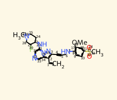 C=Cc1c(C#CCNc2ccc(S(C)(=O)=O)cc2OC)nn2c(N[C@@H]3CCN(C)C[C@@H]3F)cncc12